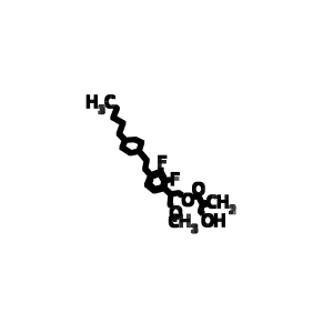 C=C(CO)C(=O)OCC(COC)c1ccc(CCC2CCC(CCCCC)CC2)c(F)c1F